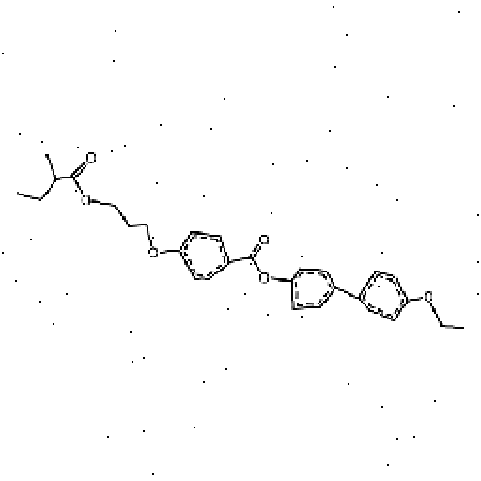 CCOc1ccc(-c2ccc(OC(=O)c3ccc(OCCCOC(=O)C(C)CC)cc3)cc2)cc1